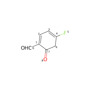 O=CC1=CC=C(F)CC1=O